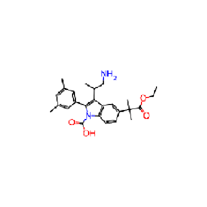 CCOC(=O)C(C)(C)c1ccc2c(c1)c(C(C)CN)c(-c1cc(C)cc(C)c1)n2C(=O)O